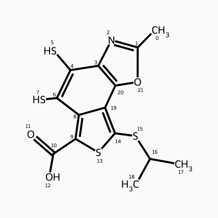 Cc1nc2c(S)c(S)c3c(C(=O)O)sc(SC(C)C)c3c2o1